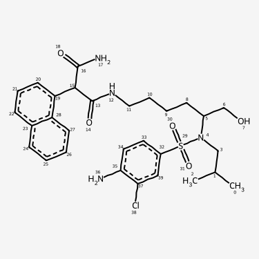 CC(C)CN(C(CO)CCCCNC(=O)C(C(N)=O)c1cccc2ccccc12)S(=O)(=O)c1ccc(N)c(Cl)c1